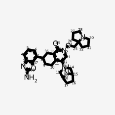 Nc1nc2cccc(C3CCc4c(N5CC6CCC(C5)N6)cn(OCC56CCCN5CCC6)c(=O)c4C3)c2o1